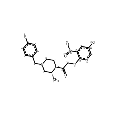 C[C@@H]1CN(Cc2ccc(F)cc2)CCN1C(=O)COc1ncc(Cl)cc1[N+](=O)[O-]